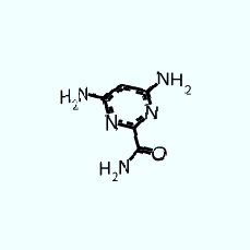 NC(=O)c1nc(N)cc(N)n1